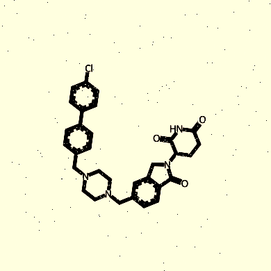 O=C1CCC(N2Cc3cc(CN4CCN(Cc5ccc(-c6ccc(Cl)cc6)cc5)CC4)ccc3C2=O)C(=O)N1